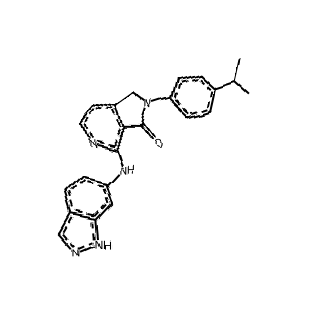 CC(C)c1ccc(N2Cc3ccnc(Nc4ccc5cn[nH]c5c4)c3C2=O)cc1